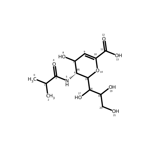 CC(C)C(=O)N[C@@H]1C(O)C=C(C(=O)O)OC1C(O)C(O)CO